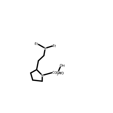 CCN(CC)CCC1CCCN1C(=O)O.O=CO